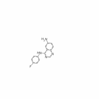 Nc1ccc2ncnc(Nc3ccc(F)cc3)c2c1